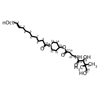 CCCCCCCCC=CCCCCCCCC(=O)N1CCC(OC(=O)CCNC(=O)C(O)C(C)(C)CO)CC1